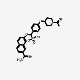 CC(=N)N1CCC(Oc2ccc(C(Oc3ccc4ccc(C(=N)N)cc4c3)P(=O)(O)O)cc2)CC1